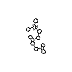 C1=CC(n2c3ccccc3c3ccc(-c4cccc(-n5c6ccccc6c6ccccc65)c4)cc32)CC(c2cccc(-c3nc(-c4ccccc4)nc(-c4ccccc4)n3)c2)=C1